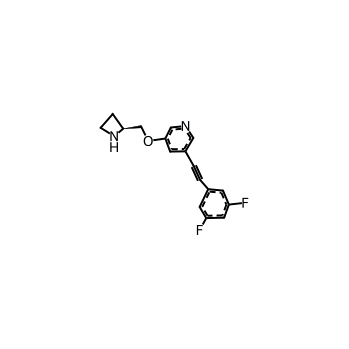 Fc1cc(F)cc(C#Cc2cncc(OC[C@@H]3CCN3)c2)c1